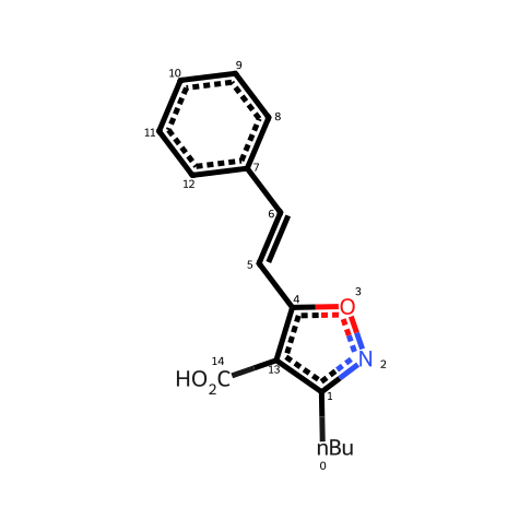 CCCCc1noc(C=Cc2ccccc2)c1C(=O)O